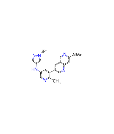 CNc1cc2ncc(-c3cc(Nc4cnn(C(C)C)c4)cnc3C)cc2cn1